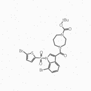 CC(C)(C)OC(=O)N1CCCN(C(=O)c2cn(S(=O)(=O)c3ccc(Br)s3)c3c(Br)cccc23)CC1